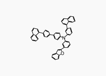 c1cc(-c2cc3ccccc3o2)cc(N(c2ccc(-c3ccc(-c4cccc5ccccc45)cc3)cc2)c2cccc(-c3cccc4ccccc34)c2)c1